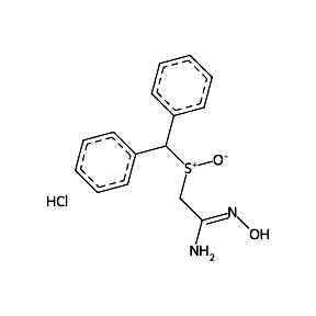 Cl.NC(C[S+]([O-])C(c1ccccc1)c1ccccc1)=NO